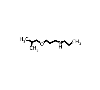 CCCNCCCOCC(C)C